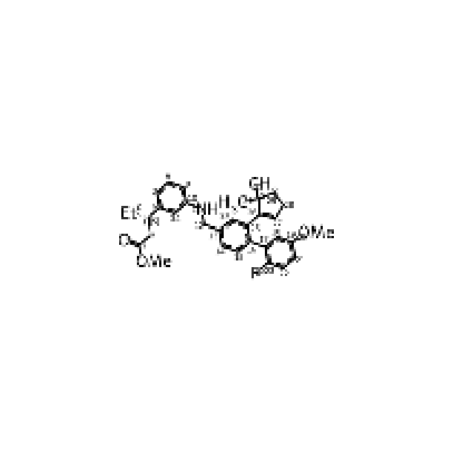 CC[C@@H](CC(=O)OC)c1cccc(NCc2ccc(-c3cc(OC)ccc3F)c(C3=CCCC3(C)C)c2)c1